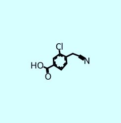 N#CCc1ccc(C(=O)O)cc1Cl